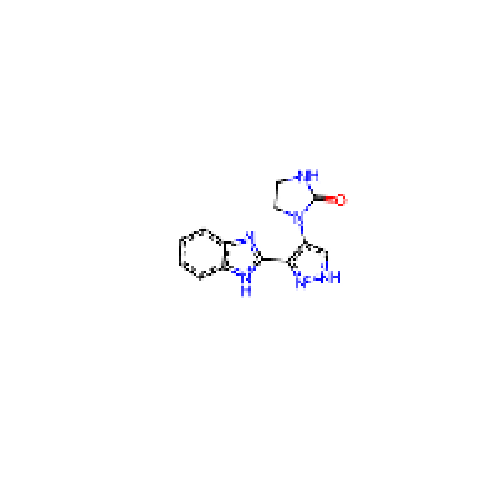 O=C1NCCN1c1c[nH]nc1-c1nc2ccccc2[nH]1